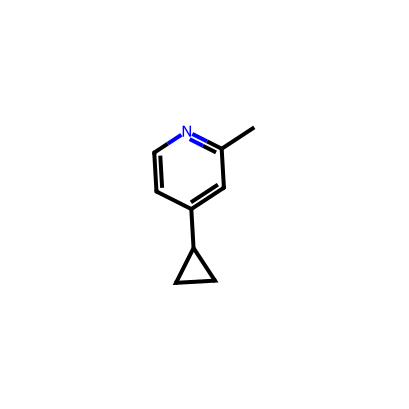 Cc1cc(C2CC2)ccn1